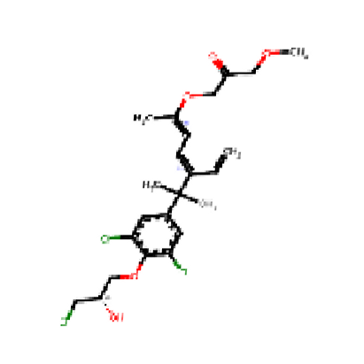 C=C/C(=C\C=C(/C)OCC(=O)COC)C(C)(C)c1cc(Cl)c(OC[C@H](O)CCl)c(Cl)c1